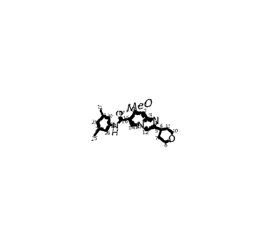 COc1cc2nc(C3CCOCC3)cn2cc1C(=O)Nc1cc(C)cc(C)c1